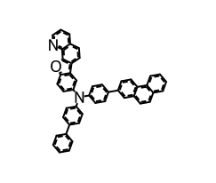 c1ccc(-c2ccc(N(c3ccc(-c4ccc5c(ccc6ccccc65)c4)cc3)c3ccc4oc5c(ccc6cccnc65)c4c3)cc2)cc1